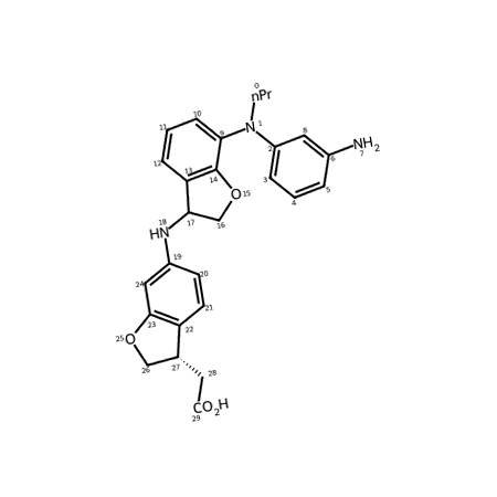 CCCN(c1cccc(N)c1)c1cccc2c1OCC2Nc1ccc2c(c1)OC[C@H]2CC(=O)O